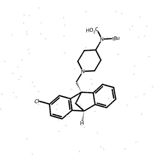 CC(C)(C)N(C(=O)O)C1CCN(C[C@@]23C[C@@H](c4ccccc42)c2ccc(Cl)cc23)CC1